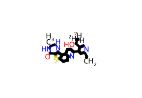 [2H]C([2H])([2H])C(O)c1cnc(C=C)cc1-c1ccc2c(ccc3sc4c(c32)NC[C@@H](C)NC4=O)n1